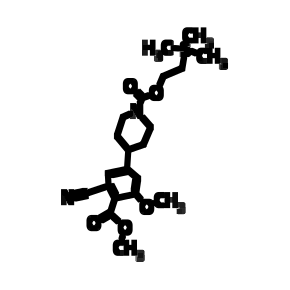 COC(=O)c1c(C#N)cc(C2CCN(C(=O)OCCS(C)(C)C)CC2)cc1OC